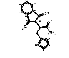 NC(=O)C(Cc1ncc[nH]1)N1C(=O)c2ccccc2C1=O